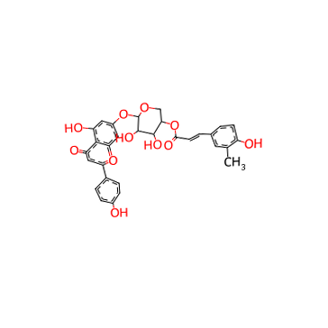 Cc1cc(/C=C/C(=O)OC2COC(Oc3cc(O)c4c(=O)cc(-c5ccc(O)cc5)oc4c3)C(O)C2O)ccc1O